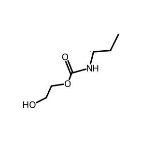 CC[CH]NC(=O)OCCO